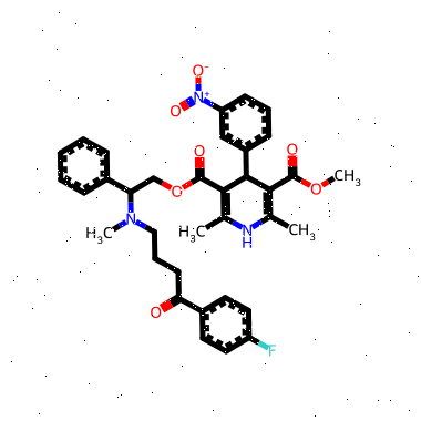 COC(=O)C1=C(C)NC(C)=C(C(=O)OCC(c2ccccc2)N(C)CCCC(=O)c2ccc(F)cc2)C1c1cccc([N+](=O)[O-])c1